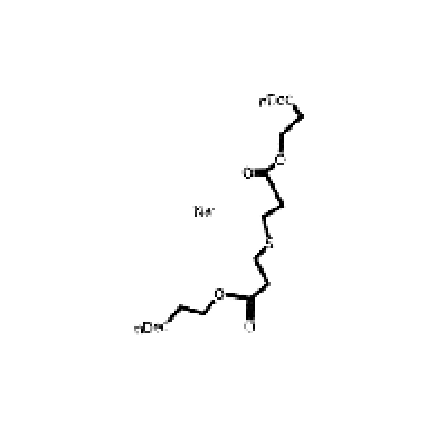 CCCCCCCCCCCCOC(=O)CCSCCC(=O)OCCCCCCCCCCCC.[Na]